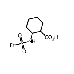 CCS(=O)(=O)NC1CCCCC1C(=O)O